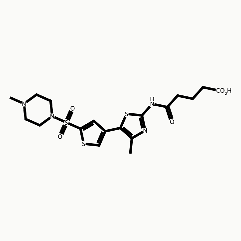 Cc1nc(NC(=O)CCCC(=O)O)sc1-c1csc(S(=O)(=O)N2CCN(C)CC2)c1